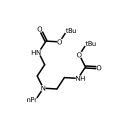 [CH2-][CH+]CN(CCNC(=O)OC(C)(C)C)CCNC(=O)OC(C)(C)C